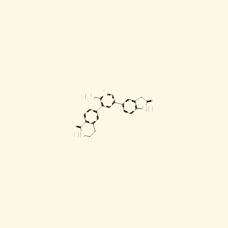 Nc1ncc(-c2ccc3c(c2)CC(=O)N3)cc1-c1ccc2c(c1)CCNC2=O